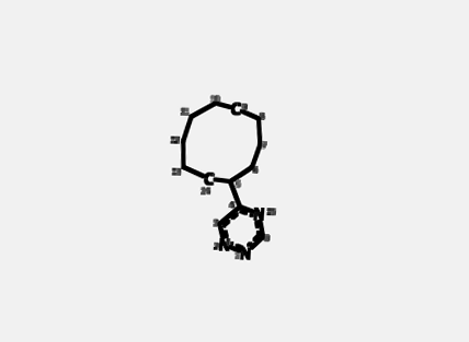 c1nncc(C2CCCCCCCCC2)n1